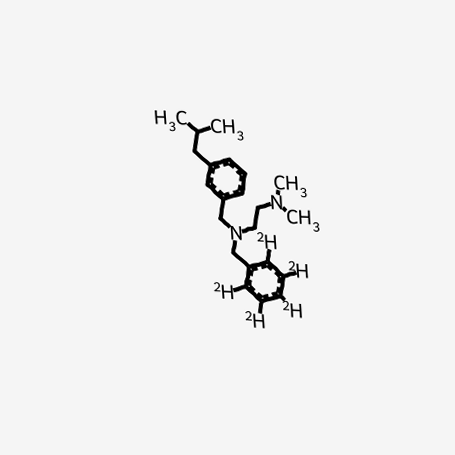 [2H]c1c([2H])c([2H])c(CN(CCN(C)C)Cc2cccc(CC(C)C)c2)c([2H])c1[2H]